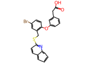 O=C(O)Cc1cccc(Oc2ccc(Br)cc2CSc2ccc3ccccc3n2)c1